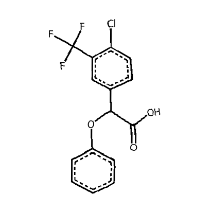 O=C(O)C(Oc1ccccc1)c1ccc(Cl)c(C(F)(F)F)c1